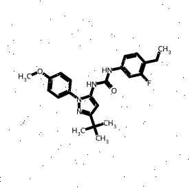 CCc1ccc(NC(=O)Nc2cc(C(C)(C)C)nn2-c2ccc(OC)cc2)cc1F